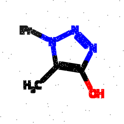 Cc1c(O)nnn1C(C)C